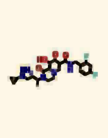 CC(CCN(N)C1CC1)N1CCn2cc(C(=O)NCc3ccc(F)cc3F)c(=O)c(O)c2C1=O